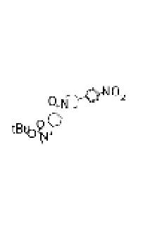 CN(C[C@H]1CC[C@H](C(=O)N2CCC(c3ccc([N+](=O)[O-])cc3)CC2)CC1)C(=O)OC(C)(C)C